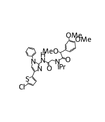 COc1ccc(C(OC)C(=O)N(CC(=O)Nc2nc(-c3ccc(Cl)s3)cn2-c2ccccc2)C(C)C)cc1OC